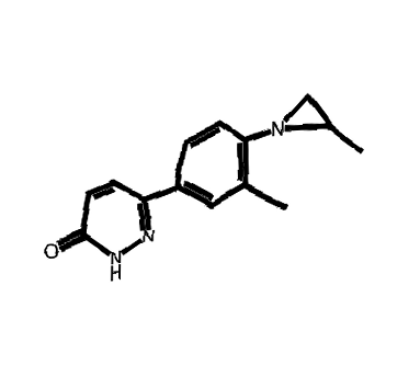 Cc1cc(-c2ccc(=O)[nH]n2)ccc1N1CC1C